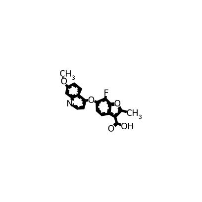 COc1ccc2c(Oc3ccc4c(C(=O)O)c(C)oc4c3F)ccnc2c1